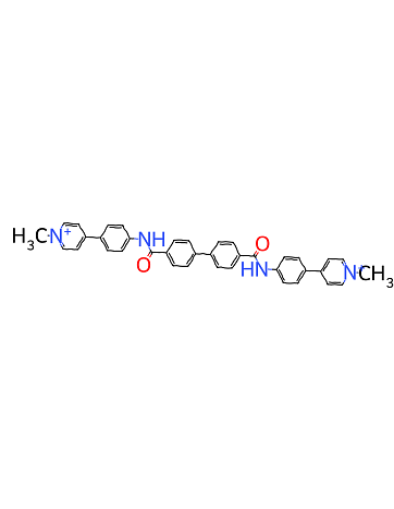 C[n+]1ccc(-c2ccc(NC(=O)c3ccc(-c4ccc(C(=O)Nc5ccc(-c6cc[n+](C)cc6)cc5)cc4)cc3)cc2)cc1